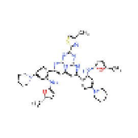 Cc1csc(C2=NC3=NC(c4ccc(N5CCCCC5)cc4Nc4ccc(C)o4)=CC4=CC(c5ccc(N6CCCCC6)cc5Nc5ccc(C)o5)=NC(=N2)N43)n1